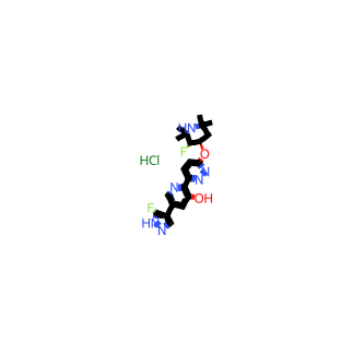 CC1(C)C[C@@H](Oc2ccc(-c3ncc(-c4cn[nH]c4F)cc3O)nn2)[C@@H](F)C(C)(C)N1.Cl